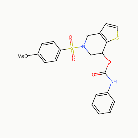 COc1ccc(S(=O)(=O)N2[C]c3ccsc3C(OC(=O)Nc3ccccc3)C2)cc1